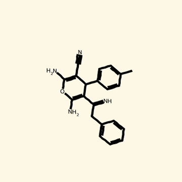 Cc1ccc(C2C(C#N)=C(N)OC(N)=C2C(=N)Cc2ccccc2)cc1